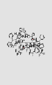 CC(C)C[C@@H](COC(=O)C=CC(C(c1ccccc1)c1ccccc1)[N+](C)(C(=O)c1cc(C(F)(F)F)cc(C(F)(F)F)c1)C(O)[C@@H](N)CC(C)C(N)=O)NC(=O)C=CC(C(c1ccccc1)c1ccccc1)N(C)C(=O)c1cc(C(F)(F)F)cc(C(F)(F)F)c1